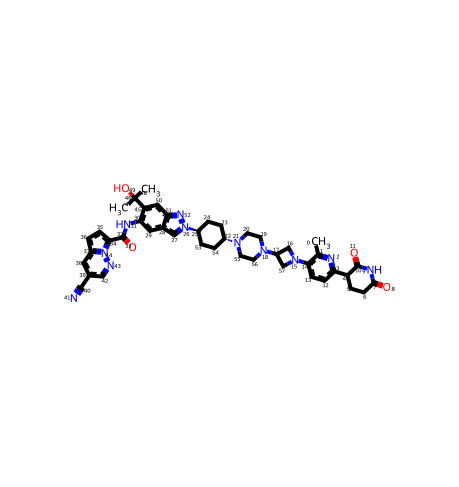 Cc1nc(C2CCC(=O)NC2=O)ccc1N1CC(N2CCN([C@H]3CC[C@H](n4cc5cc(NC(=O)c6ccc7cc(C#N)cnn67)c(C(C)(C)O)cc5n4)CC3)CC2)C1